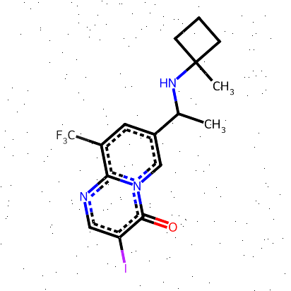 CC(NC1(C)CCC1)c1cc(C(F)(F)F)c2ncc(I)c(=O)n2c1